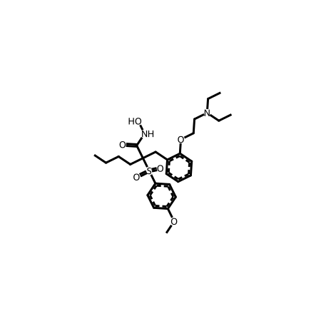 CCCCC(Cc1ccccc1OCCN(CC)CC)(C(=O)NO)S(=O)(=O)c1ccc(OC)cc1